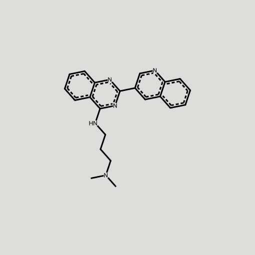 CN(C)CCCNc1nc(-c2cnc3ccccc3c2)nc2ccccc12